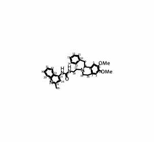 COc1cc2c(cc1OC)C(Cc1ccccc1)N(CCNC(=O)Nc1cc(C)nc3ccccc13)CC2